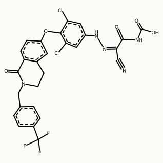 N#CC(=NNc1cc(Cl)c(Oc2ccc3c(c2)CCN(Cc2ccc(C(F)(F)F)cc2)C3=O)c(Cl)c1)C(=O)NC(=O)O